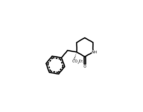 CCOC(=O)[C@]1(Cc2ccccc2)CCCNC1=O